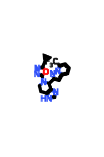 FC(F)(F)c1cccc2cc(C3c4nc[nH]c4CCN3c3nnc(C4CC4)o3)nn12